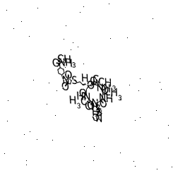 C/C=C1/NC(=O)[C@H](CSSc2ccccn2)NC(=O)[C@@H](C(C)C)NC(=O)C[C@H](/C=C/CCSC2CC(=O)N(CC3CCC(C(=O)NC)CC3)C2=O)OC(=O)[C@H](C(C)C)NC1=O